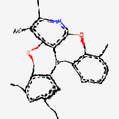 Cc1cc(C)c2c(c1)B1c3cccc(C)c3Oc3nc(C)c(C#N)c(c31)O2